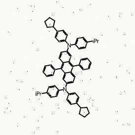 CC(C)c1ccc(N(c2ccc(C3CCCC3)cc2)c2ccc3c(-c4ccccc4)c4cc(N(c5ccc(C(C)C)cc5)c5ccc(C6CCCC6)cc5)ccc4c(-c4ccccc4)c3c2)cc1